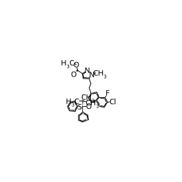 COC(=O)c1cc(CCc2cc(O[Si](c3ccccc3)(c3ccccc3)C(C)(C)C)c3ccc(Cl)c(F)c3c2)n(C)n1